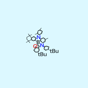 Cc1ccc(N2c3cc4c(cc3B3c5oc6ccc(C(C)(C)C)cc6c5N(c5ccc(C(C)(C)C)cc5)c5cc(C)cc2c53)C(C)(C)CCC4(C)C)c(C)c1